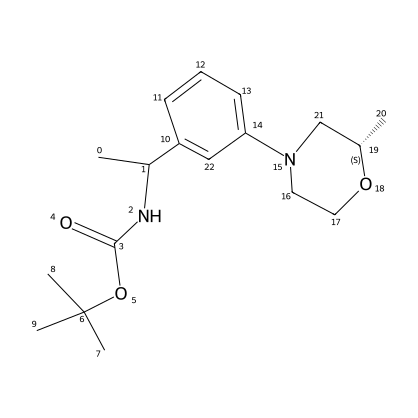 CC(NC(=O)OC(C)(C)C)c1cccc(N2CCO[C@@H](C)C2)c1